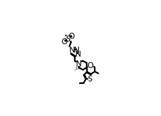 CCc1cc2c(s1)C(C)COC21CCN(Cc2cn(CCS(C)(=O)=O)nn2)[C@@H](C)C1